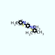 Cc1cc(C)c(SNc2ccc(-c3nc4ccc(C)cc4s3)cc2)c(C)c1